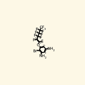 Nc1cc(N)c(Br)c(OC(F)=C(F)C(F)(F)C(F)(F)C(F)(F)C(F)(F)F)c1